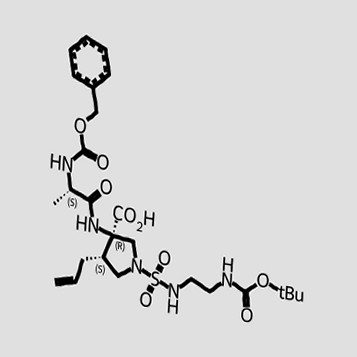 C=CC[C@H]1CN(S(=O)(=O)NCCNC(=O)OC(C)(C)C)C[C@@]1(NC(=O)[C@H](C)NC(=O)OCc1ccccc1)C(=O)O